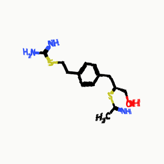 CC(=N)S[C@H](CO)Cc1ccc(CCSC(=N)N)cc1